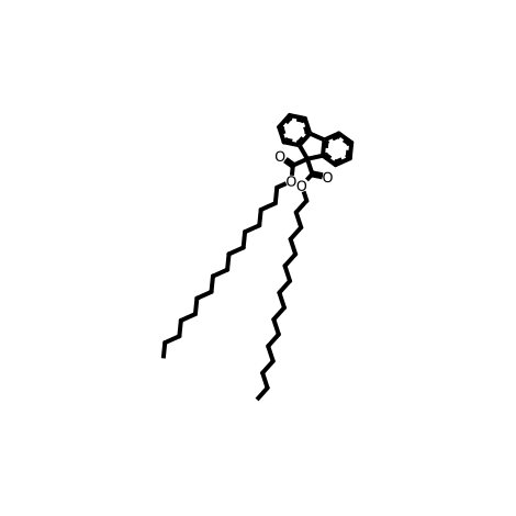 CCCCCCCCCCCCCCCCOC(=O)C1(C(=O)OCCCCCCCCCCCCCCCC)c2ccccc2-c2ccccc21